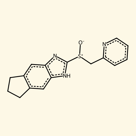 [O-][S+](Cc1ccccn1)c1nc2cc3c(cc2[nH]1)CCC3